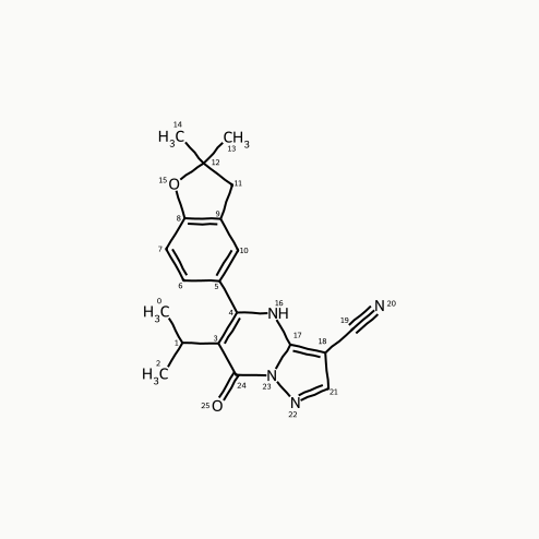 CC(C)c1c(-c2ccc3c(c2)CC(C)(C)O3)[nH]c2c(C#N)cnn2c1=O